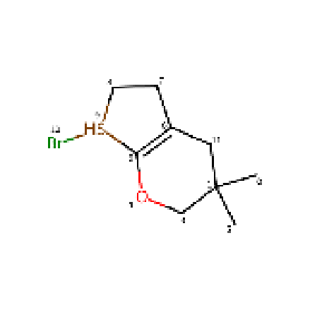 CC1(C)COC2=C(CC[SH]2Br)C1